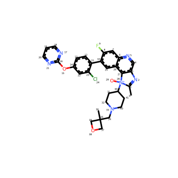 CC1=Nc2cnc3cc(F)c(-c4ccc(Oc5ncccn5)cc4Cl)cc3c2[N+]1([O-])C1CCN(CC2(C)COC2)CC1